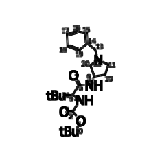 CC(C)(C)OC(=O)N[C@H](C(=O)N[C@H]1CCN(Cc2ccccc2)C1)C(C)(C)C